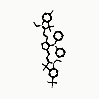 CCN1C(=CC=C2CCC(C=CC3=[N+](CC)c4ccc(C)cc4C3(C)C)=C2N(c2ccccc2)c2ccccc2)C(C)(C)c2cc(C(F)(F)F)ccc21